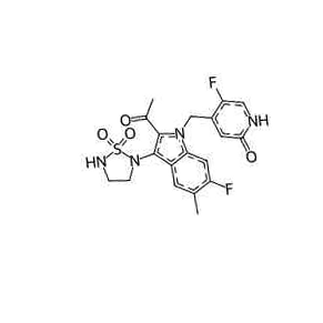 CC(=O)c1c(N2CCNS2(=O)=O)c2cc(C)c(F)cc2n1Cc1cc(=O)[nH]cc1F